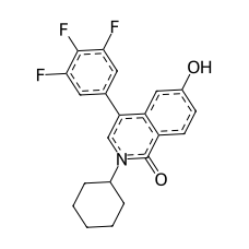 O=c1c2ccc(O)cc2c(-c2cc(F)c(F)c(F)c2)cn1C1CCCCC1